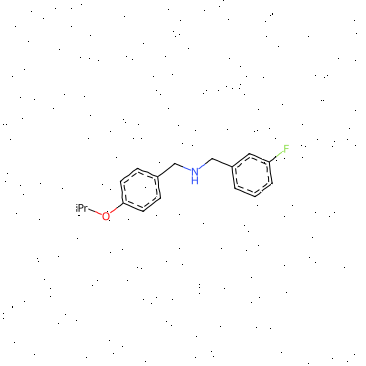 CC(C)Oc1ccc(CNCc2cccc(F)c2)cc1